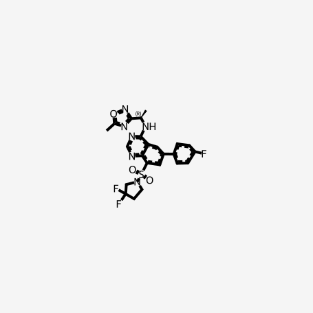 Cc1nc([C@@H](C)Nc2ncnc3c(S(=O)(=O)N4CCC(F)(F)C4)cc(-c4ccc(F)cc4)cc23)no1